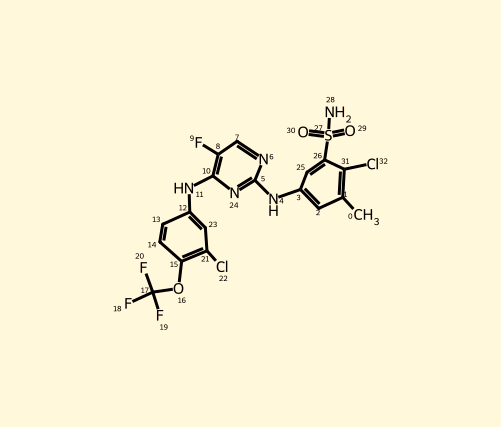 Cc1cc(Nc2ncc(F)c(Nc3ccc(OC(F)(F)F)c(Cl)c3)n2)cc(S(N)(=O)=O)c1Cl